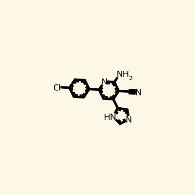 N#Cc1c(-c2cnc[nH]2)cc(-c2ccc(Cl)cc2)nc1N